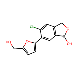 OCc1ccc(-c2cc3c(cc2Cl)COB3O)o1